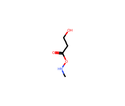 CNOC(=O)CCO